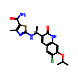 Cc1nc(N[C@@H](C)c2cc3cc(Cl)c(OC(C)C)cc3[nH]c2=O)sc1C(N)=O